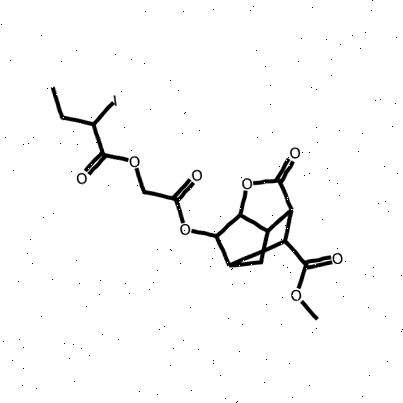 CCC(I)C(=O)OCC(=O)OC1C2CC3C1OC(=O)C3C2C(=O)OC